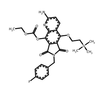 CCOC(=O)Oc1c2c(c(OCC[Si](C)(C)C)c3ccc(N)nc13)C(=O)N(Cc1ccc(F)cc1)C2=O